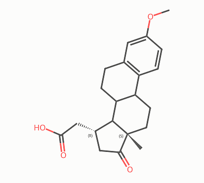 COc1ccc2c(c1)CCC1C2CC[C@]2(C)C(=O)C[C@H](CC(=O)O)C12